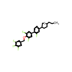 CCCC1CCC(c2ccc(-c3cc(F)c(OCc4cc(F)c(F)c(F)c4)c(F)c3)c(F)c2)CC1